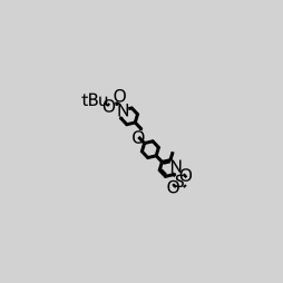 Cc1nc(S(C)(=O)=O)ccc1C1CCC(OCC2CCN(C(=O)OC(C)(C)C)CC2)CC1